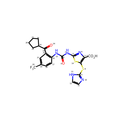 O=C(Nc1nc(C(=O)O)c(Sc2ncc[nH]2)s1)Nc1ccc(C(F)(F)F)cc1C(=O)C1CCCC1